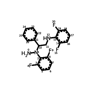 NN(c1c(F)cccc1F)C(CNc1c(F)cccc1F)c1ccccc1